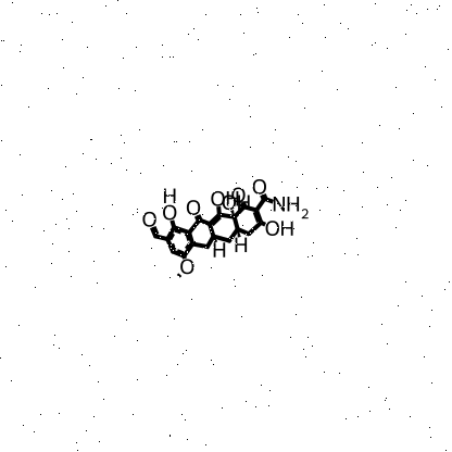 COc1cc(C=O)c(O)c2c1C[C@H]1C[C@H]3CC(O)=C(C(N)=O)C(=O)[C@@]3(O)C(O)=C1C2=O